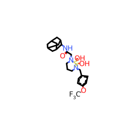 O=C(CN1CCCN(Cc2ccc(OC(F)(F)F)cc2)S1(O)O)NC1C2CC3CC(C2)CC1C3